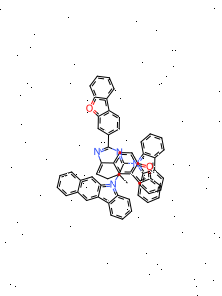 CC1C/C=C(c2ccc3oc4ccccc4c3c2-n2c3ccccc3c3cc4ccccc4cc32)/N=C(c2ccc3c(c2)oc2ccccc23)\N=C/1n1c2ccccc2c2ccccc21